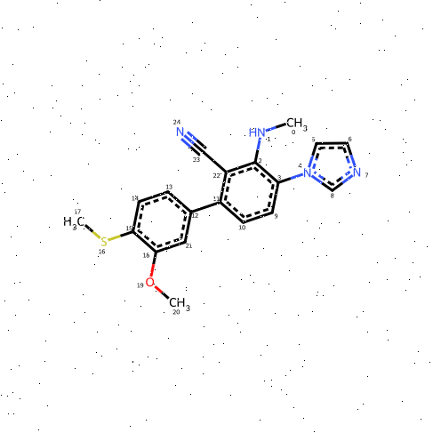 CNc1c(-n2ccnc2)ccc(-c2ccc(SC)c(OC)c2)c1C#N